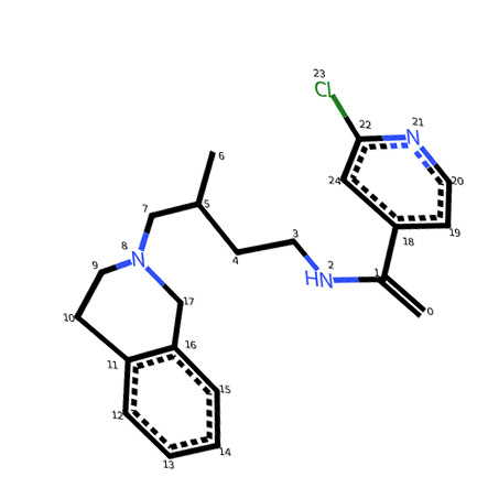 C=C(NCCC(C)CN1CCc2ccccc2C1)c1ccnc(Cl)c1